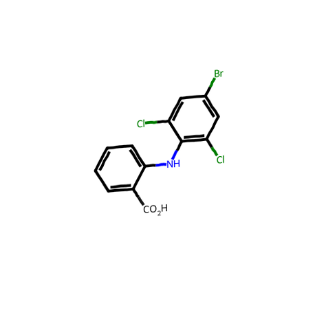 O=C(O)c1ccccc1Nc1c(Cl)cc(Br)cc1Cl